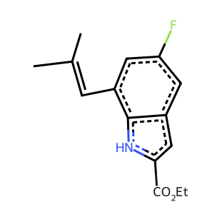 CCOC(=O)c1cc2cc(F)cc(C=C(C)C)c2[nH]1